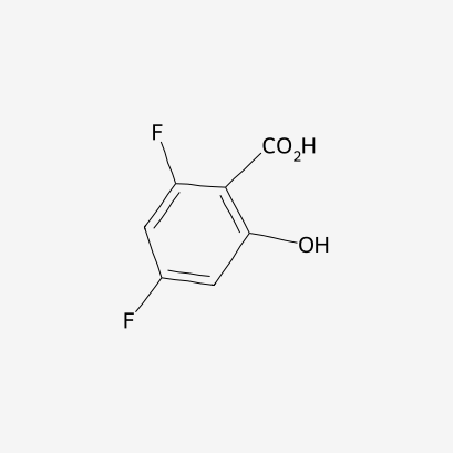 O=C(O)c1c(O)cc(F)cc1F